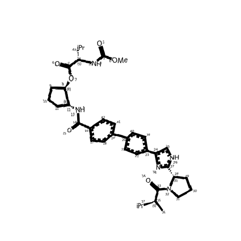 COC(=O)N[C@H](C(=O)O[C@@H]1CCC[C@H]1NC(=O)c1ccc(-c2ccc(-c3c[nH]c([C@@H]4CCCN4C(=O)[C@@H](C)C(C)C)n3)cc2)cc1)C(C)C